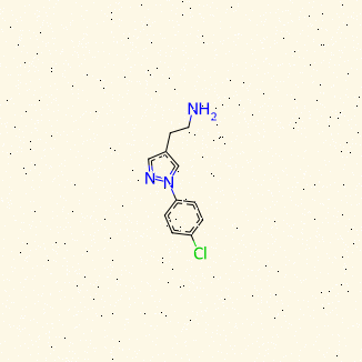 NCCc1cnn(-c2ccc(Cl)cc2)c1